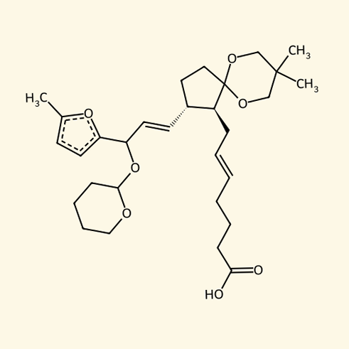 Cc1ccc(C(C=C[C@@H]2CCC3(OCC(C)(C)CO3)[C@H]2CC=CCCCC(=O)O)OC2CCCCO2)o1